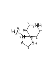 CN1CCSC12CCNCC2